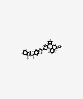 O=C(O)CC1c2cscc2C(=O)N(CC(=O)NCc2ccc(Nc3nc4ccccc4[nH]3)cc2)c2ccccc21